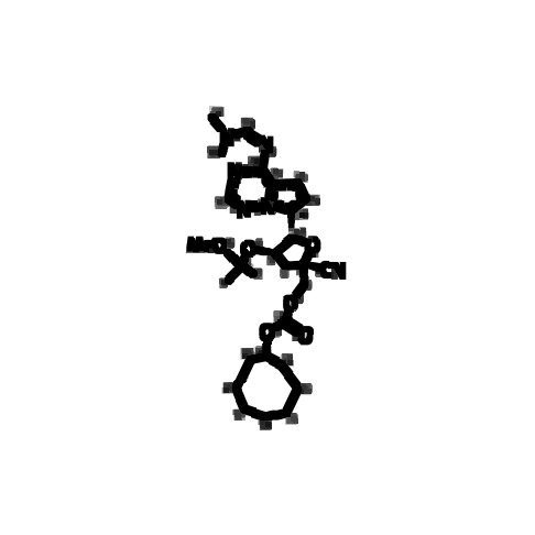 COC(C)(C)O[C@@H]1C[C@@](C#N)(COC(=O)OC2CCCCCCC2)O[C@H]1c1ccc2c(/N=C\N(C)C)ncnn12